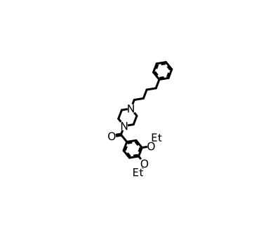 CCOc1ccc(C(=O)N2CCN(CCCCc3ccccc3)CC2)cc1OCC